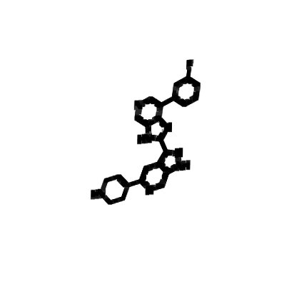 Fc1cccc(-c2cncc3[nH]c(-c4n[nH]c5cnc(C6=CCNCC6)cc45)nc23)c1